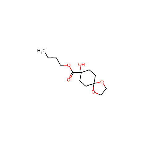 CCCCOC(=O)C1(O)CCC2(CC1)OCCO2